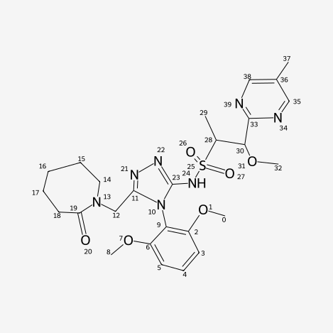 COc1cccc(OC)c1-n1c(CN2CCCCCC2=O)nnc1NS(=O)(=O)C(C)C(OC)c1ncc(C)cn1